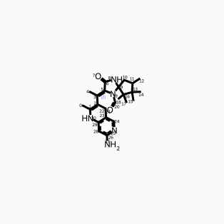 CC1=C(/C(C)=C2/C(=O)NC3(CC(C)C(C)(C)C3(C)C)N2C=O)Cc2cnc(N)cc2N1